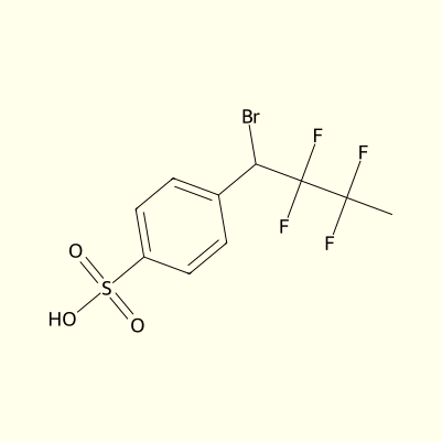 CC(F)(F)C(F)(F)C(Br)c1ccc(S(=O)(=O)O)cc1